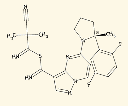 CC(C)(C#N)C(=N)SC(=N)c1cnn2ccc(N3CCC[C@]3(C)c3cc(F)ccc3F)nc12